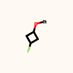 CCOC1CC(F)C1